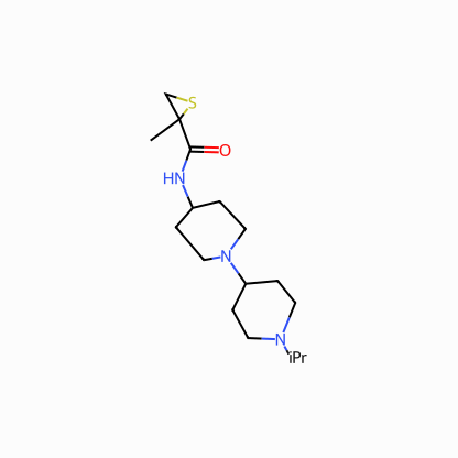 CC(C)N1CCC(N2CCC(NC(=O)C3(C)CS3)CC2)CC1